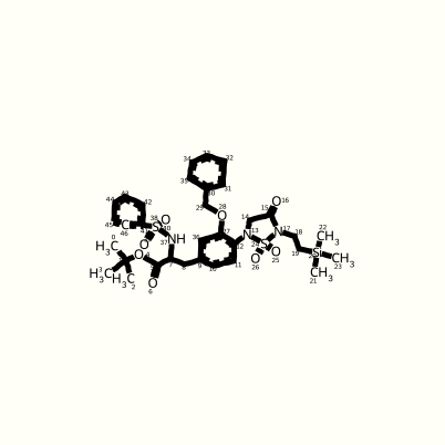 CC(C)(C)OC(=O)C(Cc1ccc(N2CC(=O)N(CC[Si](C)(C)C)S2(=O)=O)c(OCc2ccccc2)c1)NS(=O)(=O)c1ccccc1